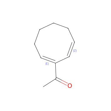 CC(=O)C1=C/CCCC/C=C\1